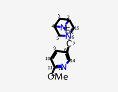 CCN1C2CC1CN(Cc1ccc(OC)nc1)C2